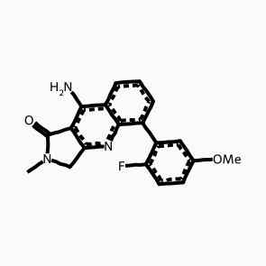 COc1ccc(F)c(-c2cccc3c(N)c4c(nc23)CN(C)C4=O)c1